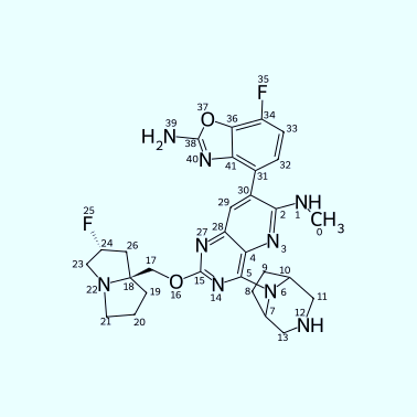 CNc1nc2c(N3C4CCC3CNC4)nc(OC[C@@]34CCCN3C[C@H](F)C4)nc2cc1-c1ccc(F)c2oc(N)nc12